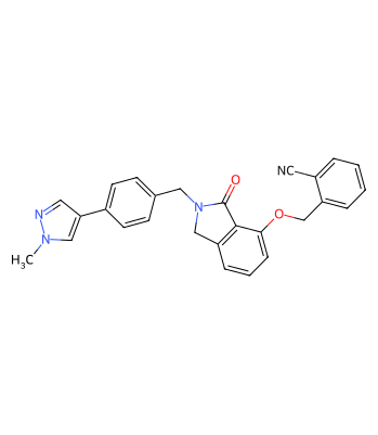 Cn1cc(-c2ccc(CN3Cc4cccc(OCc5ccccc5C#N)c4C3=O)cc2)cn1